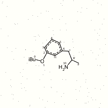 CCC(C)Oc1cccc(CC(C)N)c1